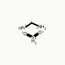 CCCCN.O=[SH2]=O